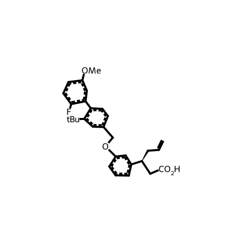 C=CC[C@@H](CC(=O)O)c1cccc(OCc2ccc(-c3cc(OC)ccc3F)c(C(C)(C)C)c2)c1